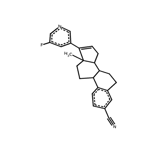 CC12CCC3c4ccc(C#N)cc4CCC3C1CC=C2c1cncc(F)c1